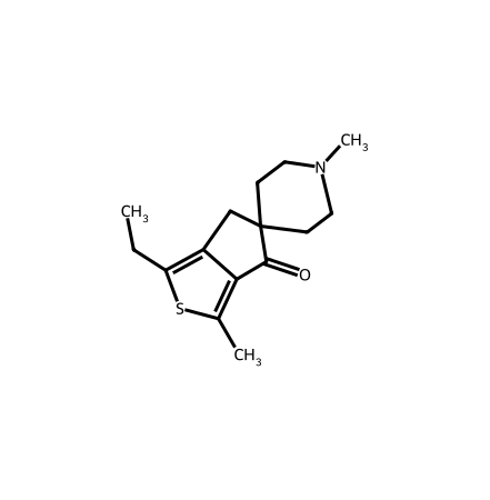 CCc1sc(C)c2c1CC1(CCN(C)CC1)C2=O